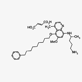 COc1cc(NC(C)CCCN)c2nccc(C)c2c1OCCCCCCCCCc1ccccc1.O=C(O)C=CC(=O)O